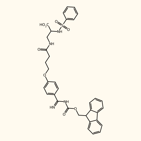 N=C(NC(=O)OCC1c2ccccc2-c2ccccc21)c1ccc(OCCCC(=O)NCC(NS(=O)(=O)c2ccccc2)C(=O)O)cc1